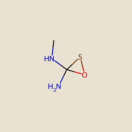 CNC1(N)OS1